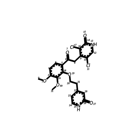 COc1ccc(C(=O)Cc2c(Cl)c[nH]c(=O)c2Cl)c(OCCc2cc[nH]c(=O)c2)c1OC